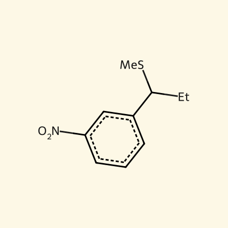 CCC(SC)c1cccc([N+](=O)[O-])c1